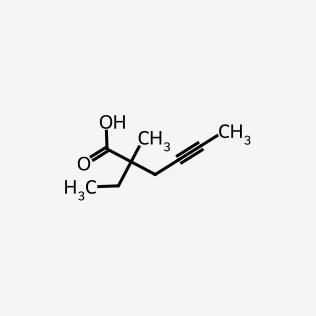 CC#CCC(C)(CC)C(=O)O